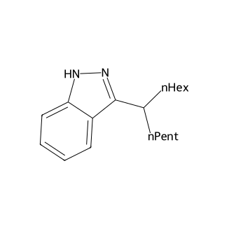 CCCCCCC(CCCCC)c1n[nH]c2ccccc12